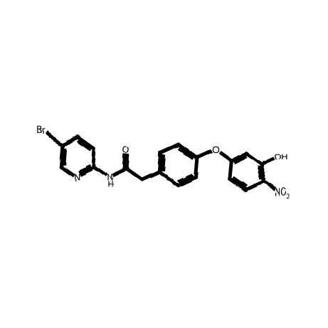 O=C(Cc1ccc(Oc2ccc([N+](=O)[O-])c(O)c2)cc1)Nc1ccc(Br)cn1